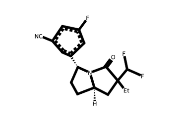 CCC1(C(F)F)C[C@H]2CC[C@H](c3cc(F)cc(C#N)c3)N2C1=O